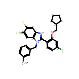 O=C(O)c1cccc(Cn2c(-c3ccc(Cl)cc3OCC3CCCC3)nc3cc(F)c(F)cc32)c1